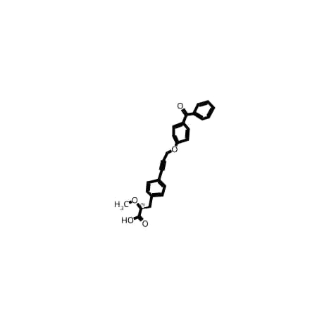 CO[C@@H](Cc1ccc(C#CCOc2ccc(C(=O)c3ccccc3)cc2)cc1)C(=O)O